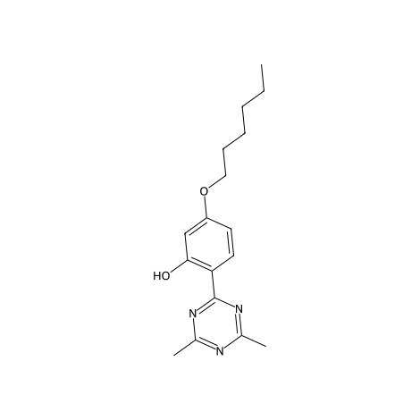 CCCCCCOc1ccc(-c2nc(C)nc(C)n2)c(O)c1